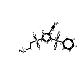 CCCS(=O)(=O)c1nc(S(=O)(=O)c2ccccc2)c(C#N)s1